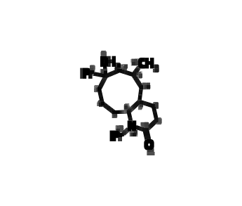 BC1(C(C)C)CCCC2C(CCC(=O)N2C(C)C)CC(C)C1